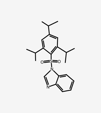 CC(C)c1cc(C(C)C)c(S(=O)(=O)n2cnc3ccccc32)c(C(C)C)c1